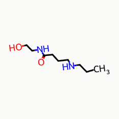 CCCNCCCC(=O)NCCO